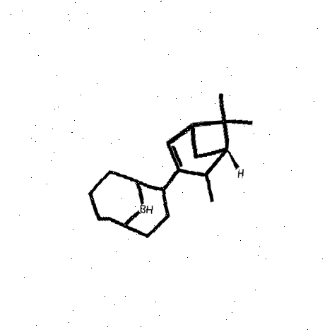 CC1C(C2CCC3BC2CCC3)=CC2C[C@@H]1C2(C)C